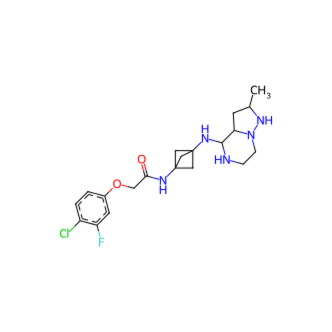 CC1CC2C(NC34CC(NC(=O)COc5ccc(Cl)c(F)c5)(C3)C4)NCCN2N1